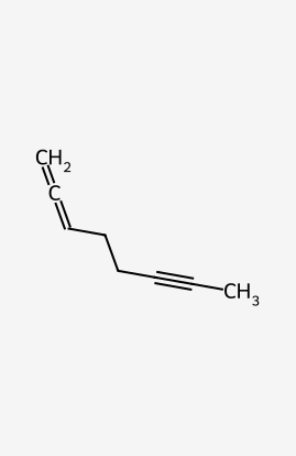 C=C=CCCC#CC